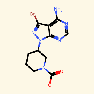 Nc1ncnc2c1c(Br)nn2[C@@H]1CCCN(C(=O)O)C1